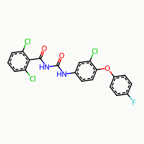 O=C(NC(=O)c1c(Cl)cccc1Cl)Nc1ccc(Oc2ccc(F)cc2)c(Cl)c1